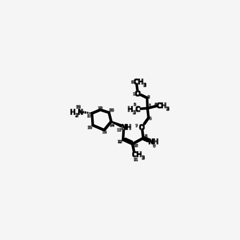 COCC(C)(C)COC(=N)/C(C)=C\N[C@H]1CC[C@H](N)CC1